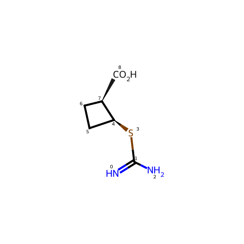 N=C(N)S[C@H]1CC[C@H]1C(=O)O